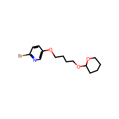 Brc1ccc(OCCCCOC2CCCCO2)cn1